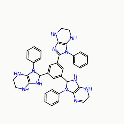 C1=NC2=C(NC1)NC(c1cc(-c3nc4c(n3-c3ccccc3)NCCN4)cc(C3NC4=C(NCCN4)N3c3ccccc3)c1)N2c1ccccc1